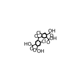 O=C(c1cc(C(=O)O)c(C(=O)O)cc1Cl)c1cc(C(=O)O)c(C(=O)O)cc1Cl